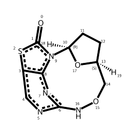 O=c1sc2cnc3nc2n1[C@H]1CC[C@@H](CON3)O1